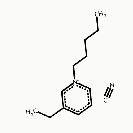 CCCCC[n+]1cccc(CC)c1.[C-]#N